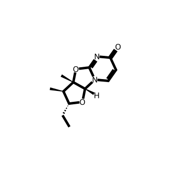 CC[C@H]1O[C@H]2n3ccc(=O)nc3O[C@@]2(C)[C@@H]1C